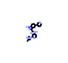 Cc1cn(-c2nccc3[nH]c(-c4n[nH]c5ccc(-c6cccnc6)c(F)c45)nc23)cn1